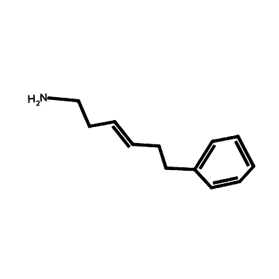 NCC/C=C/CCc1ccccc1